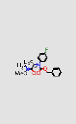 CON(C)C(=O)[C@H](C)N(C(=O)OCc1ccccc1)c1ccc(F)cc1